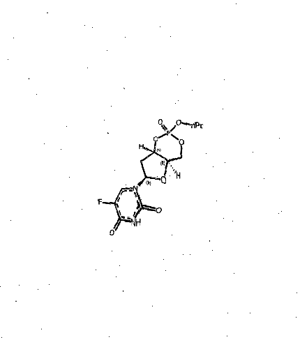 CCCOP1(=O)OC[C@H]2O[C@@H](n3cc(F)c(=O)[nH]c3=O)C[C@@H]2O1